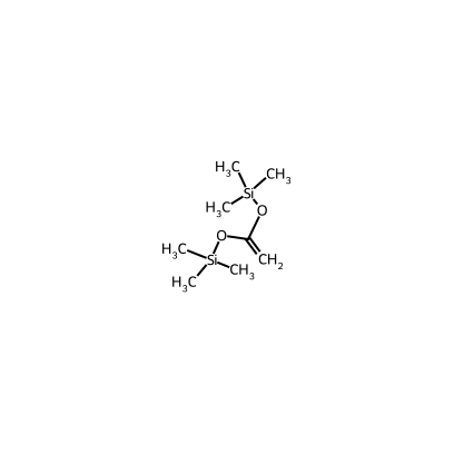 C=C(O[Si](C)(C)C)O[Si](C)(C)C